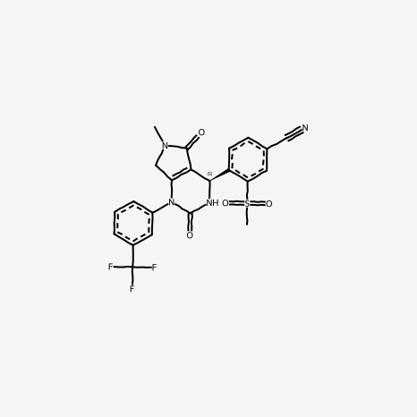 CN1CC2=C(C1=O)[C@@H](c1ccc(C#N)cc1S(C)(=O)=O)NC(=O)N2c1cccc(C(F)(F)F)c1